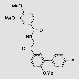 COc1ccc(C(=O)NCC(=O)c2ccc(OC)c(-c3ccc(F)cc3)n2)cc1OC